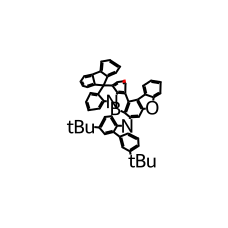 CC(C)(C)c1ccc2c(c1)c1cc(C(C)(C)C)cc3c1n2-c1cc2oc4ccccc4c2c2c1B3N1c3ccccc3C3(c4ccccc4-c4ccccc43)c3cccc-2c31